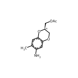 CC(=O)OC[C@H]1COc2cc(N)c(C)cc2O1